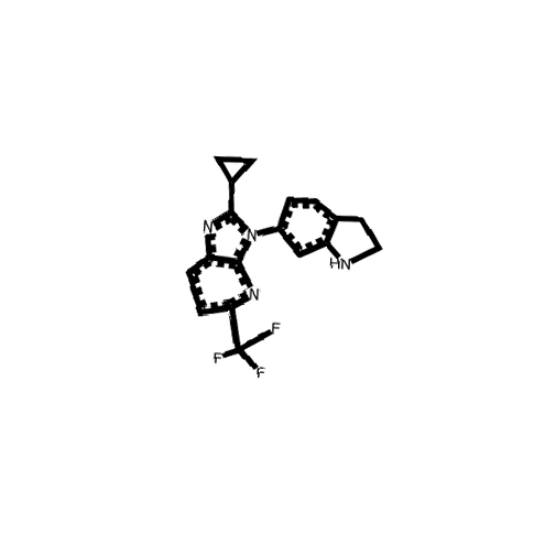 FC(F)(F)c1ccc2nc(C3CC3)n(-c3ccc4c(c3)NCC4)c2n1